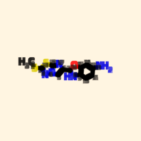 CSc1nn2cc(C3Nc4ccc(N)cc4O3)nc2s1